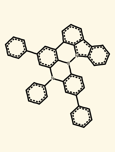 c1ccc(-c2ccc3c(c2)N(c2ccccc2)c2cc(-c4ccccc4)cc4c2B3n2c3ccccc3c3cccc-4c32)cc1